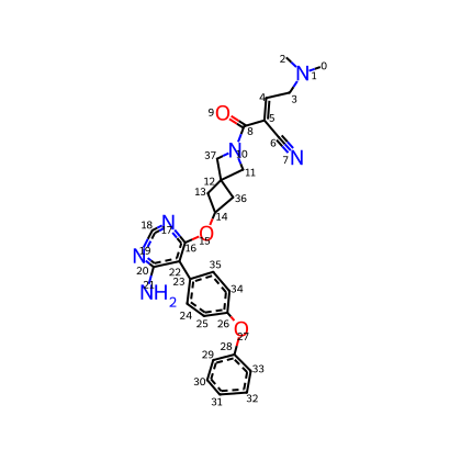 CN(C)C/C=C(\C#N)C(=O)N1CC2(CC(Oc3ncnc(N)c3-c3ccc(Oc4ccccc4)cc3)C2)C1